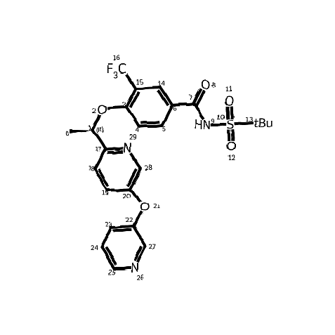 C[C@@H](Oc1ccc(C(=O)NS(=O)(=O)C(C)(C)C)cc1C(F)(F)F)c1ccc(Oc2cccnc2)cn1